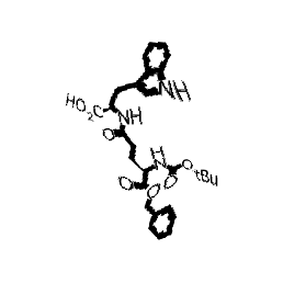 CC(C)(C)OC(=O)N[C@H](CCC(=O)N[C@H](Cc1c[nH]c2ccccc12)C(=O)O)C(=O)OCc1ccccc1